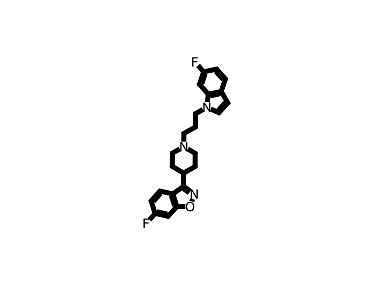 Fc1ccc2c(C3CCN(CCCn4ccc5ccc(F)cc54)CC3)noc2c1